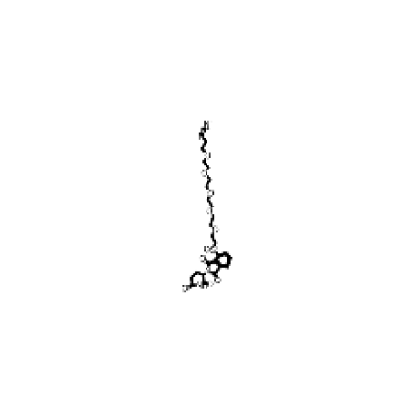 [N-]=[N+]=NCCOCCOCCOCCOCCOCC[S+]([O-])c1cccc2c1C(=O)N(C1CCC(=O)NC1=O)C2=O